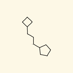 [CH](CCC1CCC1)C1CCCC1